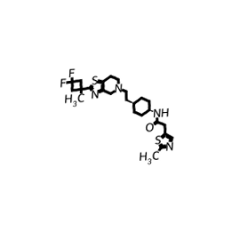 Cc1ncc(CC(=O)N[C@H]2CC[C@H](CCN3CCc4sc(C5(C)CC(F)(F)C5)nc4C3)CC2)s1